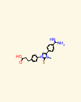 Cn1c(-c2ccc(C(=N)N)cc2)cn(-c2ccc(CCC(=O)O)cc2)c1=S